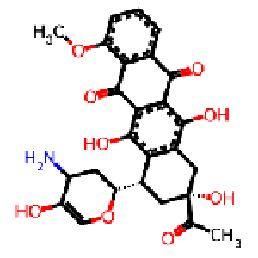 COc1cccc2c1C(=O)c1c(O)c3c(c(O)c1C2=O)C[C@@](O)(C(C)=O)C[C@@H]3C1CC(N)C(O)=CO1